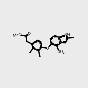 COC(=O)Cc1ccc(Oc2ccc3[nH]c(C)cc3c2N)c(C)c1C